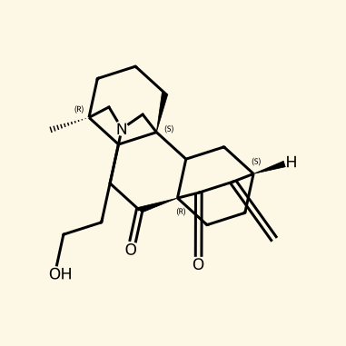 C=C1C(=O)[C@]23CC[C@H]1CC2[C@@]12CCC[C@@](C)(CN(CCO)C1)C2CC3=O